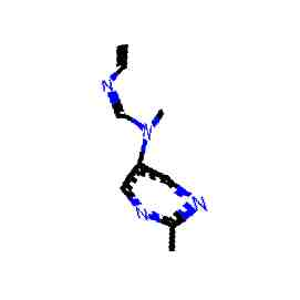 C=C/N=C\N(C)c1cnc(C)nc1